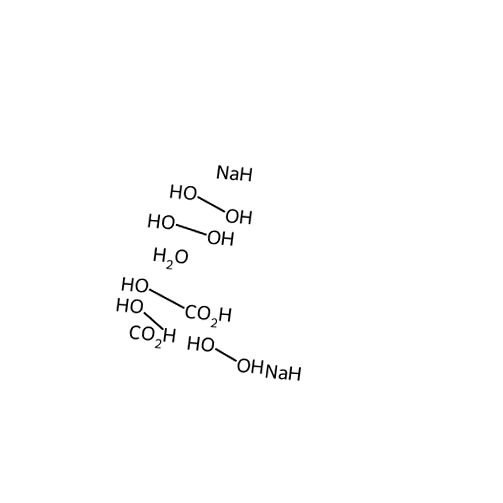 O.O=C(O)O.O=C(O)O.OO.OO.OO.[NaH].[NaH]